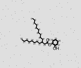 CCCCCCCCCCC(CCCCCCCC)CC(=O)Oc1ccccc1O